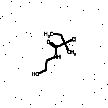 CCC(C)(Cl)C(=O)NCCO